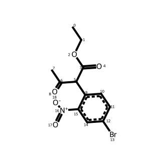 CCOC(=O)C(C(C)=O)c1ccc(Br)cc1[N+](=O)[O-]